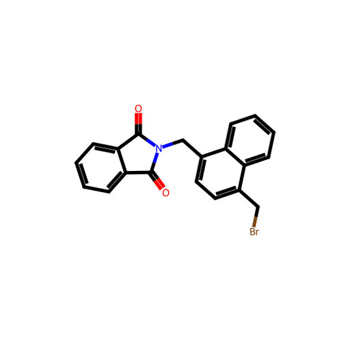 O=C1c2ccccc2C(=O)N1Cc1ccc(CBr)c2ccccc12